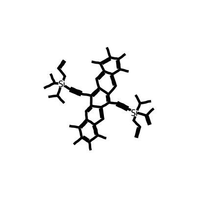 C=CC[Si](C#Cc1c2cc3c(C)c(C)c(C)c(C)c3cc2c(C#C[Si](CC=C)(C(C)C)C(C)C)c2cc3c(C)c(C)c(C)c(C)c3cc12)(C(=C)C)C(C)C